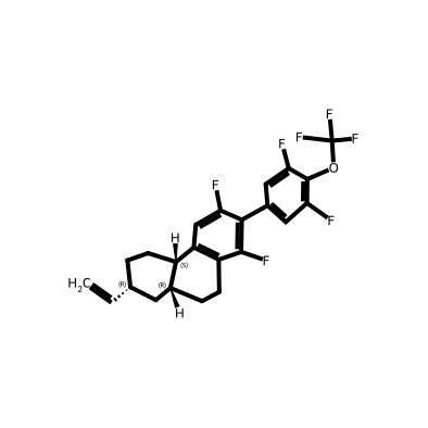 C=C[C@@H]1CC[C@@H]2c3cc(F)c(-c4cc(F)c(OC(F)(F)F)c(F)c4)c(F)c3CC[C@@H]2C1